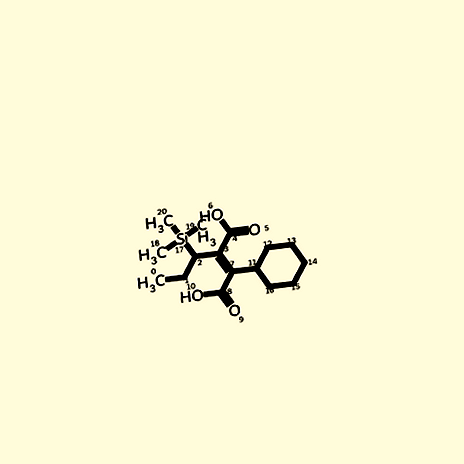 CCC(/C(C(=O)O)=C(\C(=O)O)C1CCCCC1)[Si](C)(C)C